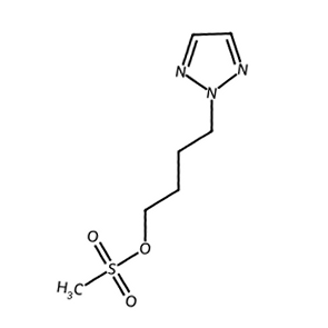 CS(=O)(=O)OCCCCn1nccn1